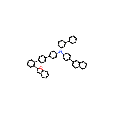 c1ccc(-c2cccc(N(c3ccc(-c4ccc(-c5ccccc5-c5cc6ccccc6o5)cc4)cc3)c3ccc(-c4ccc5ccccc5c4)cc3)c2)cc1